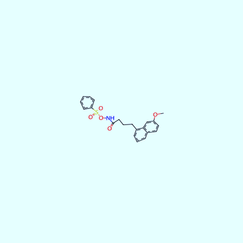 COc1ccc2cccc(CCCC(=O)NOS(=O)(=O)c3ccccc3)c2c1